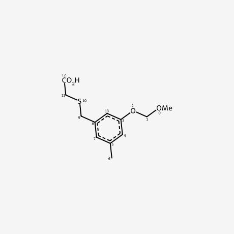 COCOc1cc(C)cc(CSCC(=O)O)c1